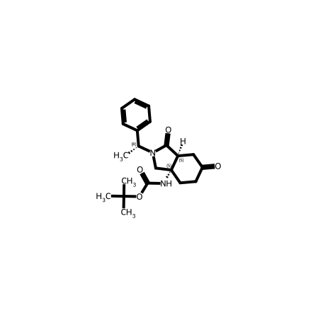 C[C@H](c1ccccc1)N1C[C@]2(NC(=O)OC(C)(C)C)CCC(=O)C[C@@H]2C1=O